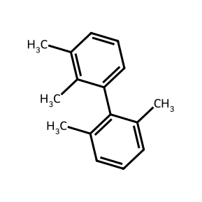 Cc1cccc(-c2c(C)cccc2C)c1C